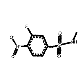 CNS(=O)(=O)c1ccc([N+](=O)[O-])c(F)c1